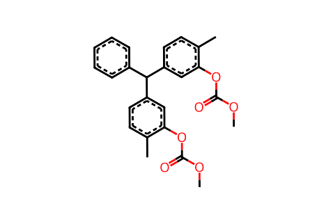 COC(=O)Oc1cc(C(c2ccccc2)c2ccc(C)c(OC(=O)OC)c2)ccc1C